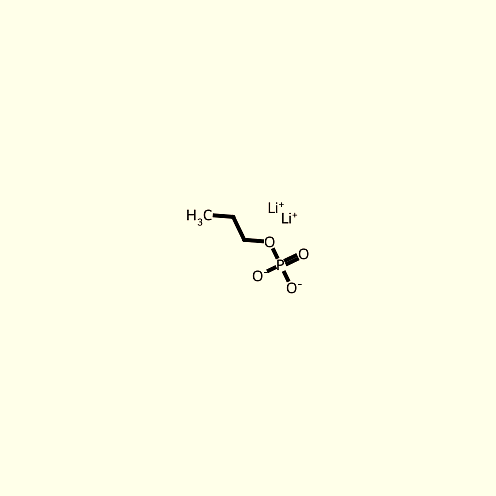 CCCOP(=O)([O-])[O-].[Li+].[Li+]